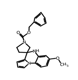 COc1ccc2c(c1)NC1(CCN(C(=O)OCc3ccccc3)C1)c1cccn1-2